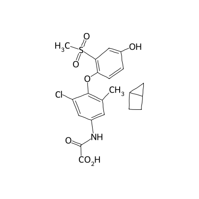 C1CC2CC12.Cc1cc(NC(=O)C(=O)O)cc(Cl)c1Oc1ccc(O)cc1S(C)(=O)=O